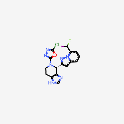 FC(I)c1cccc2cc([C@@H]3c4nc[nH]c4CCN3c3nnc(Cl)o3)nn12